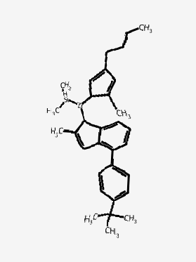 CCCCC1=C[CH]([Zr]([CH]2C(C)=Cc3c(-c4ccc(C(C)(C)C)cc4)cccc32)[SiH](C)C)C(C)=C1